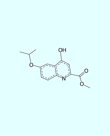 COC(=O)c1cc(O)c2cc(OC(C)C)ccc2n1